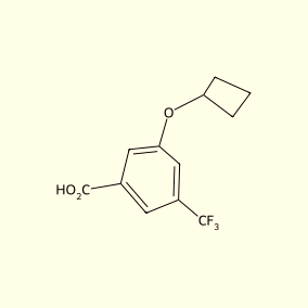 O=C(O)c1cc(OC2CCC2)cc(C(F)(F)F)c1